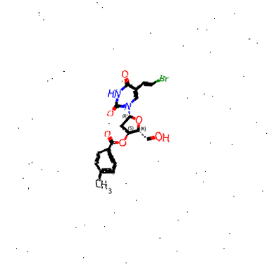 Cc1ccc(C(=O)O[C@H]2C[C@H](n3cc(C=CBr)c(=O)[nH]c3=O)O[C@@H]2CO)cc1